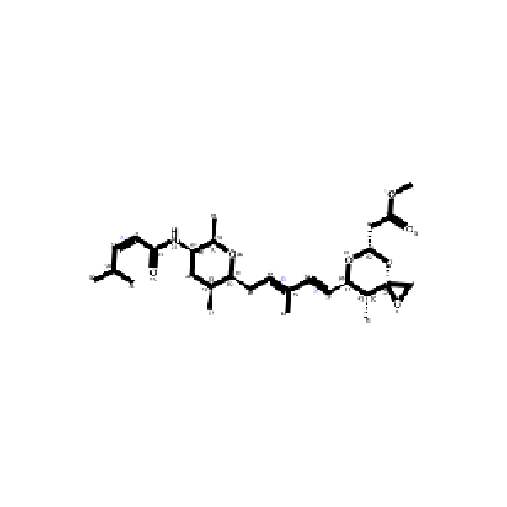 COC(=O)C[C@@H]1C[C@@]2(CO2)[C@H](C)[C@@H](/C=C/C(C)=C/C[C@@H]2O[C@H](C)[C@H](NC(=O)/C=C\C(C)C)C[C@@H]2C)O1